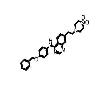 O=S1(=O)CCN(CCc2ccc3c(Nc4ccc(OCc5ccccc5)cc4)ncnc3c2)CC1